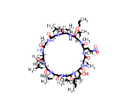 C=CCOC(C)(C)C[C@H]1C(=O)N[C@@H](C(C)C)C(=O)N(C)[C@@H](CC(C)C)C(=O)N[C@@H](C)C(=O)N[C@H](C)C(=O)N(C)[C@@H](CC(C)C)C(=O)N(C)[C@@H](CC(C)C)C(=O)N(C)[C@@H](C(C)C)C(=O)N(C)[C@@H]([C@H](O)[C@H](C)C/C=C/C)C(=O)N[C@@H](CC)C(=O)N(C)C(CC[N+](=O)[O-])C(=O)N1C